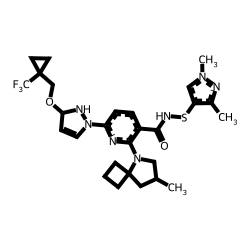 Cc1nn(C)cc1SNC(=O)c1ccc(N2C=CC(OCC3(C(F)(F)F)CC3)N2)nc1N1CC(C)CC12CCC2